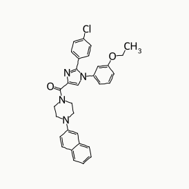 CCOc1cccc(-n2cc(C(=O)N3CCN(c4ccc5ccccc5c4)CC3)nc2-c2ccc(Cl)cc2)c1